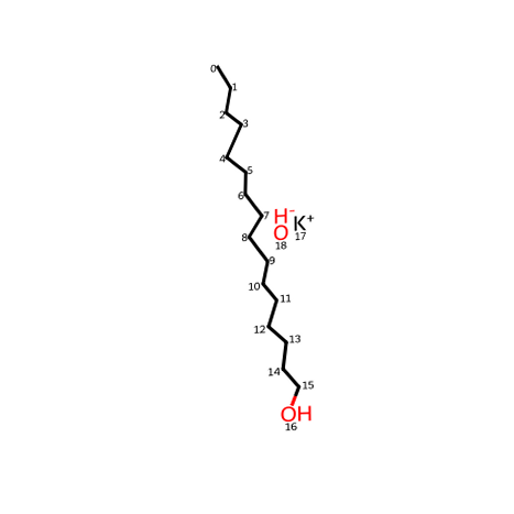 CCCCCCCCCCCCCCCCO.[K+].[OH-]